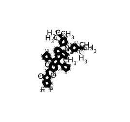 Cc1ccccc1-c1c2c(c(-c3ccccc3C)c3cc(C=C4C(=O)c5cc(F)c(F)cc5C4=O)ccc13)-c1cccc3c(N(c4ccc(C(C)(C)C)cc4)c4ccc(C(C)(C)C)cc4)ccc-2c13